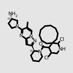 Cc1cn2nc([C@@H]3CCCCN3C(=O)C3C(Cl)CNC(Cl)C34CCCCCCCCC4)cc2nc1N1CC[C@H](N)C1